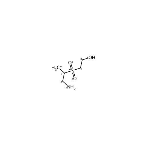 CC(CN)S(=O)(=O)CCO